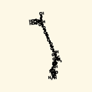 C#CCCCC(COCC#C)(COCC#C)NC(=O)CCOCCOCCOCCOCCOCCOCCNC(=O)CC[C@@H](C)NC(=O)c1ccc(NCc2cnc3nc(N)[nH]c(=O)c3n2)cc1